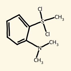 CN(C)c1ccccc1S(C)(Cl)Cl